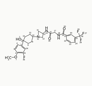 COc1ccc(C2(O)CCC(N3CC(NC(=O)CNC(=O)c4cccc(C(F)(F)F)c4)C3)CC2)cc1F